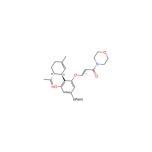 C=C(C)[C@@H]1CCC(C)=C[C@H]1c1c(O)cc(CCCCC)cc1O/C=C/C(=O)N1CCOCC1